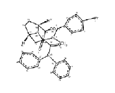 CC(C)c1ccc(CN(C)C(=O)N2[C@H]3CC[C@@H]2[C@@H](C(=O)O)N(C(=O)N(c2ccccc2)c2ccccc2)C3)cc1